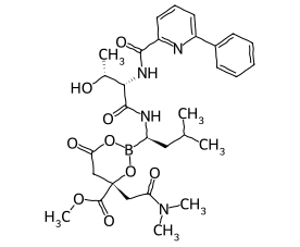 COC(=O)[C@]1(CC(=O)N(C)C)CC(=O)OB([C@H](CC(C)C)NC(=O)[C@@H](NC(=O)c2cccc(-c3ccccc3)n2)[C@@H](C)O)O1